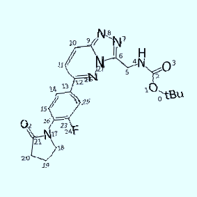 CC(C)(C)OC(=O)NCc1nnc2ccc(-c3ccc(N4CCCC4=O)c(F)c3)nn12